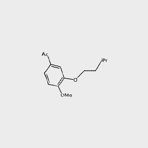 COc1ccc(C(C)=O)cc1OCCC(C)C